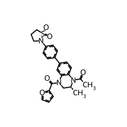 CC(=O)N1c2ccc(-c3ccc(N4CCCS4(=O)=O)cc3)cc2N(C(=O)c2ccco2)C[C@@H]1C